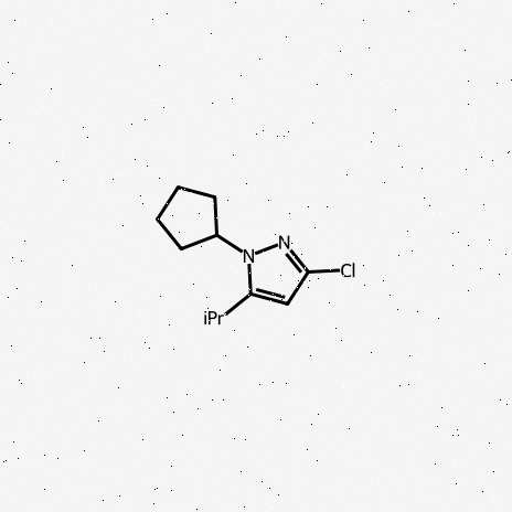 CC(C)c1cc(Cl)nn1C1CCCC1